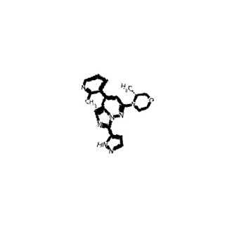 Cc1ncccc1-c1cc(N2CCOC[C@H]2C)nn2c(-c3ccn[nH]3)ncc12